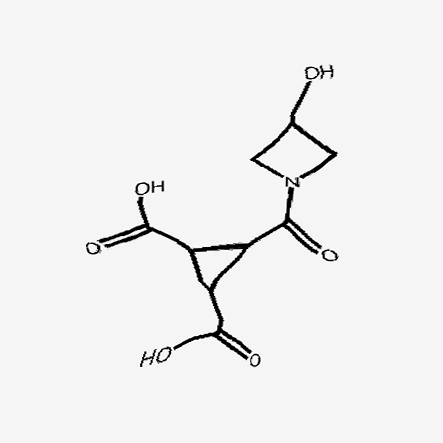 O=C(O)C1C(C(=O)O)C1C(=O)N1CC(O)C1